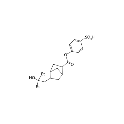 CCC(O)(CC)CC1CC2CC1CC2C(=O)Oc1ccc(S(=O)(=O)O)cc1